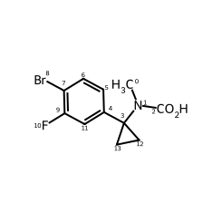 CN(C(=O)O)C1(c2ccc(Br)c(F)c2)CC1